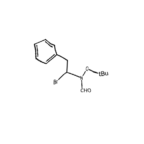 CC(C)(C)ON(C=O)C(Br)Cc1ccccc1